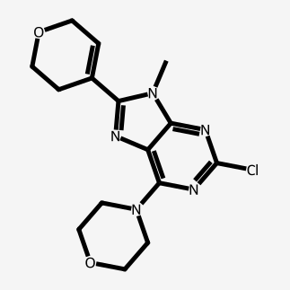 Cn1c(C2=CCOCC2)nc2c(N3CCOCC3)nc(Cl)nc21